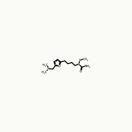 CSN(CCCCc1ccc(CN(C)C)o1)C(N)=O